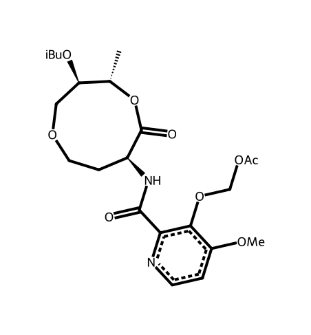 COc1ccnc(C(=O)N[C@H]2CCOC[C@@H](OCC(C)C)[C@H](C)OC2=O)c1OCOC(C)=O